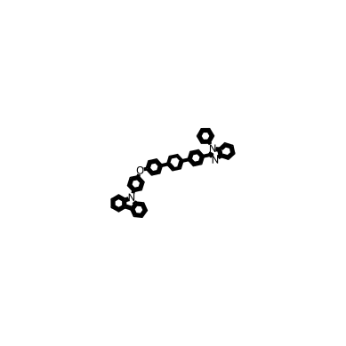 C1=C(c2ccc(Oc3ccc(-n4c5ccccc5c5ccccc54)cc3)cc2)CCC(c2ccc(-c3nc4ccccc4n3-c3ccccc3)cc2)=C1